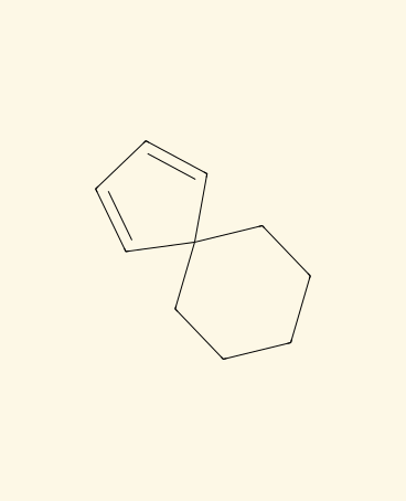 C1=CC2(C=C1)CCCCC2